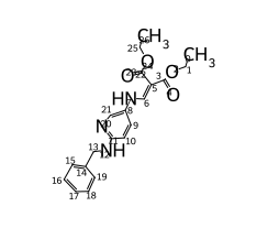 CCOC(=O)C(=CNc1ccc(NCc2ccccc2)nc1)C(=O)OCC